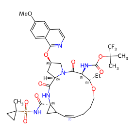 CC[C@@H]1OCCC/C=C\C2C[C@@]2(C(=O)NS(=O)(=O)C2(C)CC2)NC(=O)[C@@H]2C[C@@H](Oc3nccc4cc(OC)ccc34)CN2C(=O)[C@H]1NC(=O)OC(C)(C)C(F)(F)F